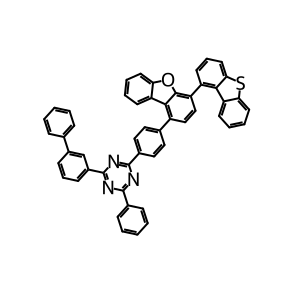 c1ccc(-c2cccc(-c3nc(-c4ccccc4)nc(-c4ccc(-c5ccc(-c6cccc7sc8ccccc8c67)c6oc7ccccc7c56)cc4)n3)c2)cc1